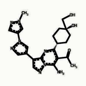 CC(=O)c1c(N)n2ncc(-c3cnn(-c4cnn(C)c4)c3)c2nc1[C@H]1CC[C@@](O)(CO)CC1